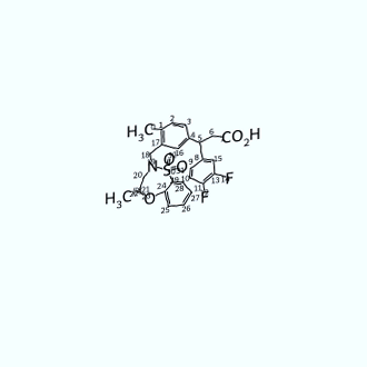 Cc1ccc(C(CC(=O)O)c2ccc(F)c(F)c2)cc1CN1C[C@@H](C)Oc2ccccc2S1(=O)=O